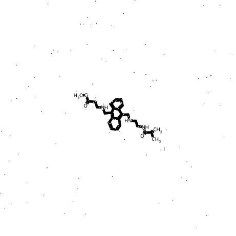 C=C(C)C(=O)NCCNCc1c2ccccc2c(CNCCC(=O)OC)c2ccccc12